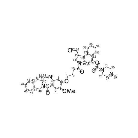 COc1cc2c(cc1OCCCC(=O)N1C[C@@H](CCl)c3c1cc(OC(=O)N1CCN(C)CC1)c1ccccc31)N=C[C@@H]1Cc3ccccc3CN1C2=O